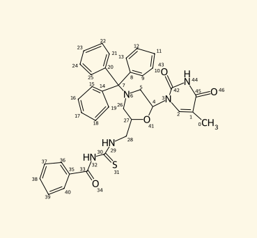 Cc1cn(C2CN(C(c3ccccc3)(c3ccccc3)c3ccccc3)CC(CNC(=S)NC(=O)c3ccccc3)O2)c(=O)[nH]c1=O